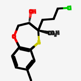 Cc1ccc2c(c1)S[C@](CCCCl)(C(=O)O)[C@@H](O)CO2